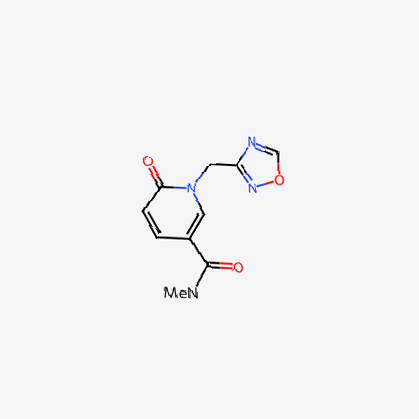 CNC(=O)c1ccc(=O)n(Cc2ncon2)c1